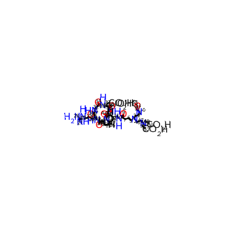 CN(CCN(CCCC(=O)NC[C@@H]1C[C@@H]2CC[C@H]3C(=O)N[C@@H](CCCNC(=N)N)C(=O)NCC(=O)N[C@@H](CC(=O)O)C(=O)N[C@H]1C(=O)N23)CCN(CC(=O)O)CC(=O)O)COC=O